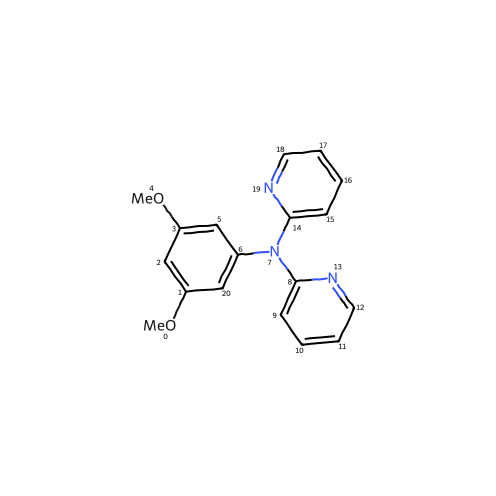 COc1cc(OC)cc(N(c2ccccn2)c2ccccn2)c1